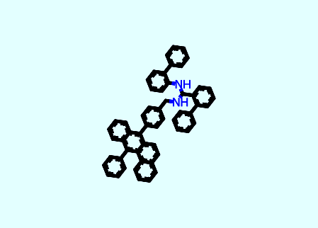 c1ccc(-c2ccccc2NC(NCc2ccc(-c3c4ccccc4c(-c4ccccc4)c4c3ccc3ccccc34)cc2)c2ccccc2-c2ccccc2)cc1